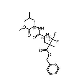 COC(=O)[C@H](CC(C)C)NC(=O)[C@H](N)CC(C)(C(=O)OCc1ccccc1)C(F)(F)F